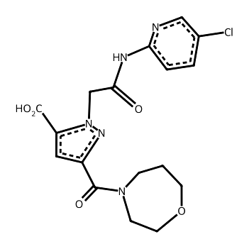 O=C(Cn1nc(C(=O)N2CCCOCC2)cc1C(=O)O)Nc1ccc(Cl)cn1